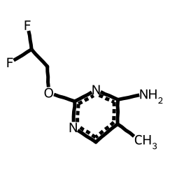 Cc1cnc(OCC(F)F)nc1N